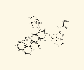 CNC(=O)O[C@@H]1CN2CCC[C@]2(COc2nc(N3CC4CCC(C3)N4)c3cnc(-c4cccc5cccc(Cl)c45)c(F)c3n2)C1